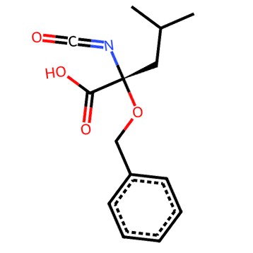 CC(C)C[C@@](N=C=O)(OCc1ccccc1)C(=O)O